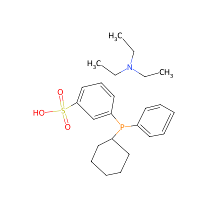 CCN(CC)CC.O=S(=O)(O)c1cccc(P(c2ccccc2)C2CCCCC2)c1